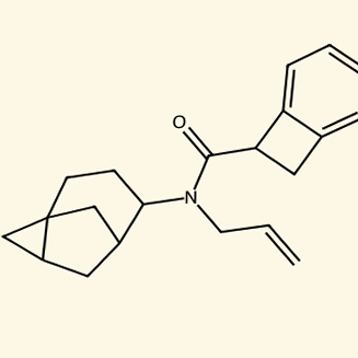 C=CCN(C(=O)C1Cc2ccccc21)C1CCC23CC1CC2C3